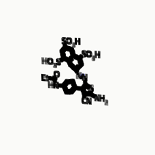 CCC(=O)Nc1ccc(-c2c(/N=N/c3cc(S(=O)(=O)O)c4cc(S(=O)(=O)O)cc(S(=O)(=O)O)c4c3)sc(N)c2C#N)cc1